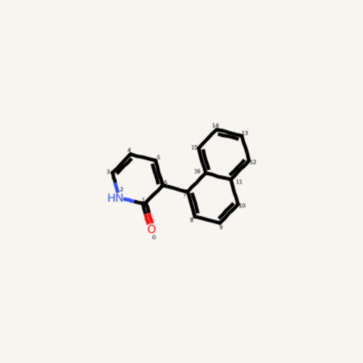 O=c1[nH]cccc1-c1cccc2ccccc12